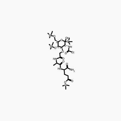 CCC(=O)N[C@@H]1[C@@H](OCC(=O)NC(C)C(=O)NC(CCC(=O)O[Si](C)(C)C)C(N)=O)[C@H](O[Si](C)(C)C)[C@@H](CO[Si](C)(C)C)OC1(O)[Si](C)(C)C